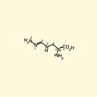 NN=CNC[C@H](N)C(=O)O